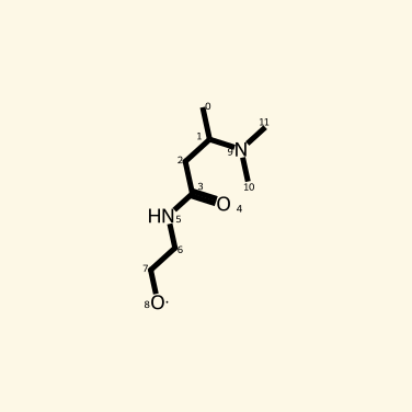 CC(CC(=O)NCC[O])N(C)C